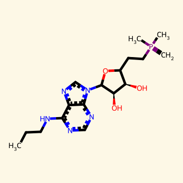 C=P(C)(C)CCC1OC(n2cnc3c(NCCC)ncnc32)[C@H](O)[C@@H]1O